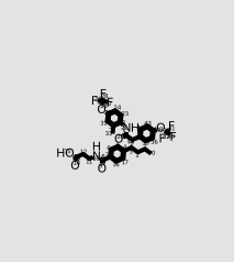 CCCC(c1ccc(C(=O)NCCC(=O)O)cc1)[C@H](C(=O)Nc1ccc(OC(F)(F)F)cc1C)c1ccc(OC(F)(F)F)cc1